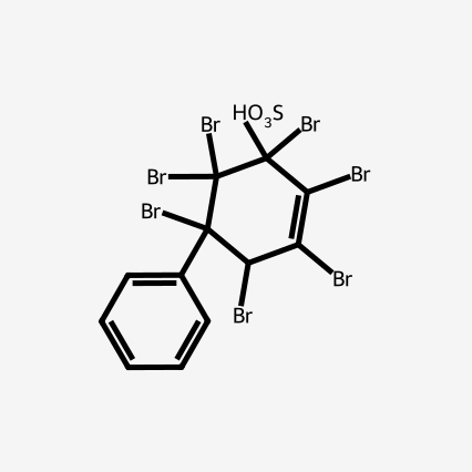 O=S(=O)(O)C1(Br)C(Br)=C(Br)C(Br)C(Br)(c2ccccc2)C1(Br)Br